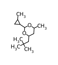 CC1CC(CC(C)(C)C)OC(C2CC2C)O1